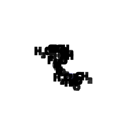 C=C/C(=N\C=C(/C)CC1=CCCN(C[C@@H]2[C@H]3CC=C(c4cc(C(=O)C(=C)C5CCC(=O)NC5=O)c(C(C)=O)cc4F)C[C@H]32)CC1)C(=O)NC1CCCCC1